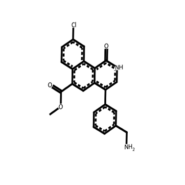 COC(=O)c1cc2c(-c3cccc(CN)c3)c[nH]c(=O)c2c2cc(Cl)ccc12